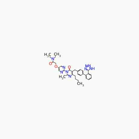 CCCCc1nc(C)n(-c2ncc(OCC(=O)N(CC)CC)cn2)c(=O)c1Cc1ccc(-c2ccccc2-c2nnn[nH]2)cc1